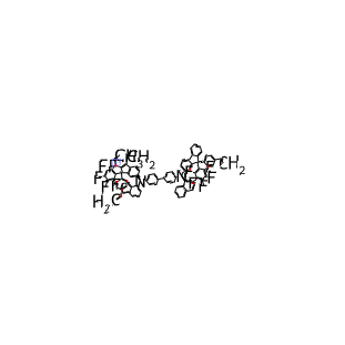 C=CC1=C(/C=C\C)C(c2ccc(C=C)cc2)(c2c(F)c(F)c(F)c(F)c2F)c2cc(N(c3ccc(-c4ccc(N(c5ccc6c(c5)C(c5ccc(C=C)cc5)(c5c(F)c(F)c(F)c(F)c5F)c5ccccc5-6)c5cccc6ccccc56)cc4)cc3)c3cccc4ccccc34)ccc21